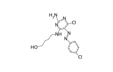 Nc1nc(Cl)c(/N=N/c2ccc(Cl)cc2)c(NCCCCO)n1